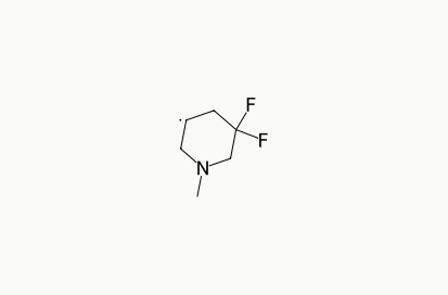 CN1C[CH]CC(F)(F)C1